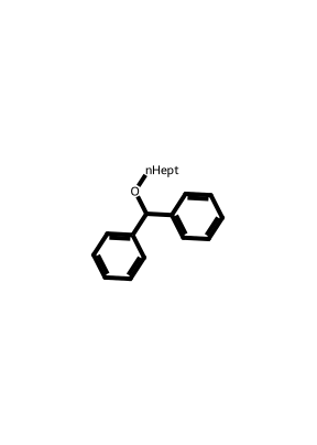 [CH2]CCCCCCOC(c1ccccc1)c1ccccc1